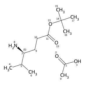 CC(=O)O.CC(C)[C@@H](N)CCC(=O)OC(C)(C)C